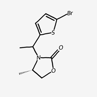 CC(c1ccc(Br)s1)N1C(=O)OC[C@@H]1C